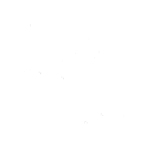 N=C(c1ccc(CN2C(=O)CN(C(=O)c3ccc(Cl)cc3)Cc3ccccc32)cc1)N1CCOCC1.O=C(O)C(F)(F)F